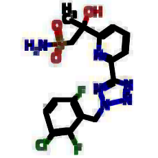 CC(O)(CS(N)(=O)=O)c1cccc(-c2nnn(Cc3c(F)ccc(Cl)c3F)n2)n1